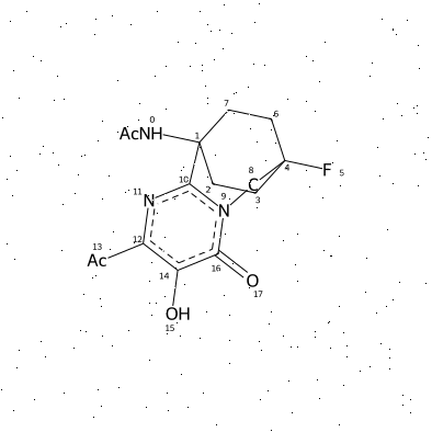 CC(=O)NC12CCC(F)(CC1)Cn1c2nc(C(C)=O)c(O)c1=O